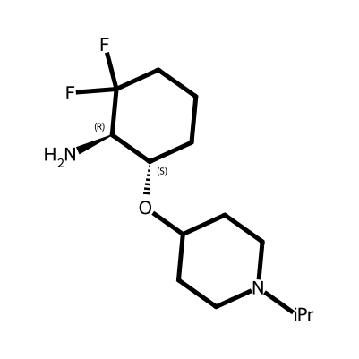 CC(C)N1CCC(O[C@H]2CCCC(F)(F)[C@@H]2N)CC1